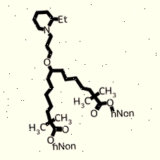 CCCCCCCCCOC(=O)C(C)(C)CCCCCC(CCCCCC(C)(C)C(=O)OCCCCCCCCC)OCCCN1CCCCC1CC